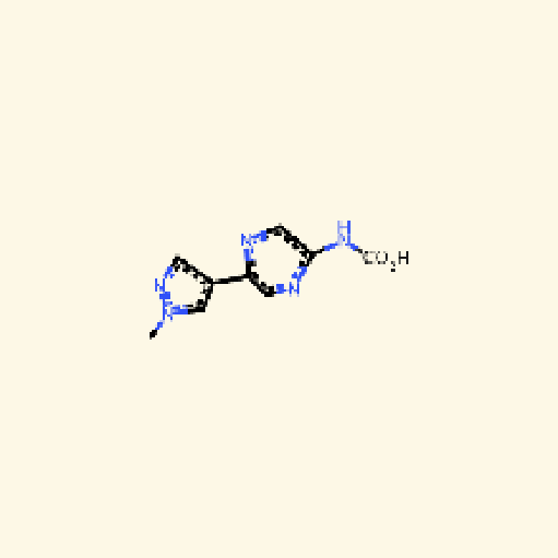 Cn1cc(-c2cnc(NC(=O)O)cn2)cn1